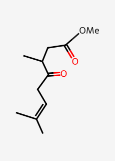 COC(=O)CC(C)C(=O)CC=C(C)C